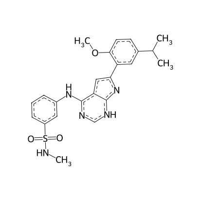 CNS(=O)(=O)c1cccc(Nc2nc[nH]c3nc(-c4cc(C(C)C)ccc4OC)cc2-3)c1